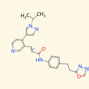 CC(C)n1cc(-c2ccncc2/C=C/C(=O)Nc2ccc(CCc3nnco3)cc2)cn1